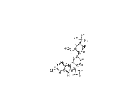 OCc1cc(C(F)(F)F)ncc1-c1ccc(C2(c3nc4ncc(Cl)cc4[nH]3)CCC2)cc1